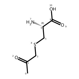 CC(=O)CSC[C@H](N)C(=O)O